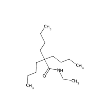 CCCCC(CCCC)(CCCC)C(=O)NCC